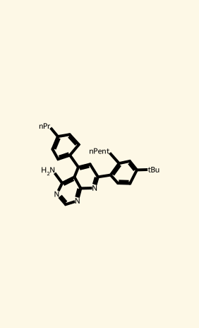 CCCCCc1cc(C(C)(C)C)ccc1-c1cc(-c2ccc(CCC)cc2)c2c(N)ncnc2n1